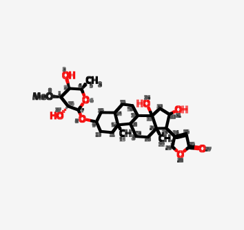 CO[C@H]1[C@@H](O)[C@@H](C)OC(OC2CCC3(C)C(CCC4C3CCC3(C)C(C5=CC(=O)OC5)C(O)CC43O)C2)[C@@H]1O